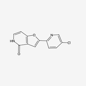 O=c1[nH]ccc2oc(-c3ccc(Cl)cn3)cc12